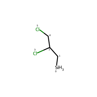 [SiH3]CC(Cl)CCl